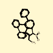 CCC1=Cc2c(ccc(-c3ccccc3)c2-c2ccccc2-c2ccccc2)[CH]1[Zr]([Cl])[Cl]